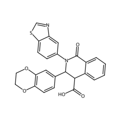 O=C(O)C1c2ccccc2C(=O)N(c2ccc3scnc3c2)C1c1ccc2c(c1)OCCO2